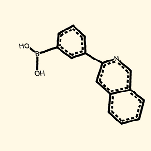 OB(O)c1cccc(-c2cc3ccccc3cn2)c1